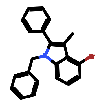 Cc1c(-c2ccccc2)n(Cc2ccccc2)c2cccc(Br)c12